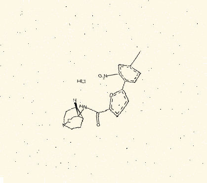 Cc1ccc(-c2ccc(C(=O)N[C@H]3CN4CCC3CC4)o2)c([N+](=O)[O-])c1.Cl